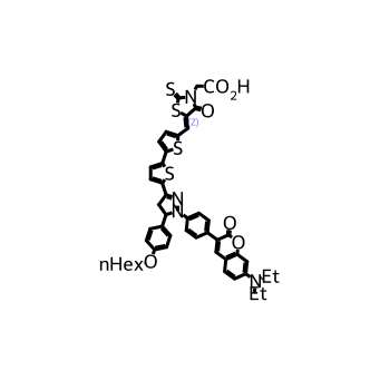 CCCCCCOc1ccc(C2CC(c3ccc(-c4ccc(/C=C5\SC(=S)N(CC(=O)O)C5=O)s4)s3)=NN2c2ccc(-c3cc4ccc(N(CC)CC)cc4oc3=O)cc2)cc1